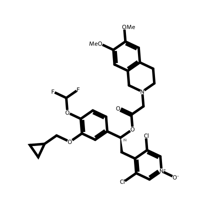 COc1cc2c(cc1OC)CN(CC(=O)O[C@@H](Cc1c(Cl)c[n+]([O-])cc1Cl)c1ccc(OC(F)F)c(OCC3CC3)c1)CC2